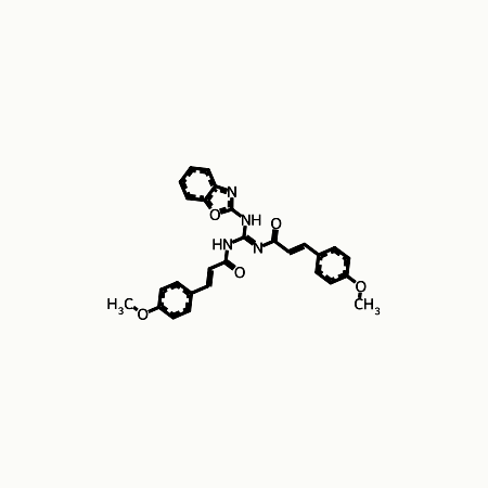 COc1ccc(/C=C/C(=O)/N=C(/NC(=O)/C=C/c2ccc(OC)cc2)Nc2nc3ccccc3o2)cc1